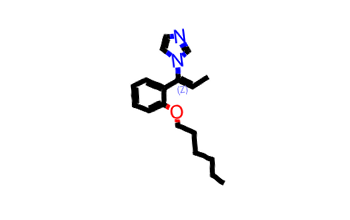 C/C=C(/c1ccccc1OCCCCCC)n1ccnc1